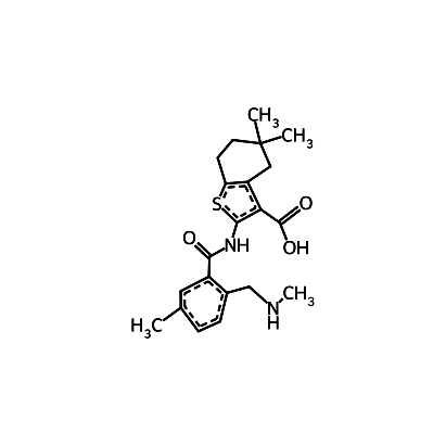 CNCc1ccc(C)cc1C(=O)Nc1sc2c(c1C(=O)O)CC(C)(C)CC2